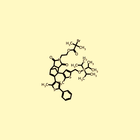 Cc1sc(-c2ccccc2)cc1C1=CC2CC1(c1cc(CO[Si](C(C)C)(C(C)C)C(C)C)sc1C)C1C(=O)N(CCOC(=O)C(C)(C)Br)C(=O)C21